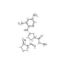 CC(C)(C)OC(=O)N1C[C@@H](Nc2ncc([N+](=O)[O-])cc2[N+](=O)[O-])C[C@H]1C(=O)N1CCC[C@H]1C#N